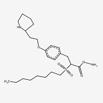 CCCCCCCCS(=O)(=O)C(Cc1ccc(OCCC2CCCCN2)cc1)C(=O)ON